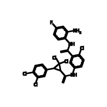 C=C(Nc1ccc(F)cc1N)c1cc(NC(=C)C2C(c3ccc(Cl)c(Cl)c3)C2(Cl)Cl)ccc1Cl